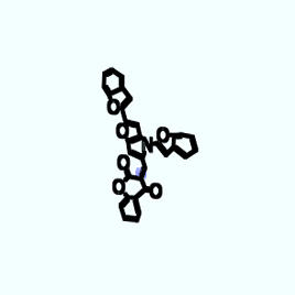 O=C1Oc2ccccc2C(=O)/C1=C/c1cc2oc(-c3cc4ccccc4o3)cc2n1-c1cc2ccccc2o1